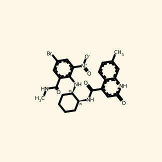 CNC(=O)c1cc(Br)cc([N+](=O)[O-])c1N[C@@H]1CCCC[C@@H]1NC(=O)c1cc(=O)[nH]c2cc(C)ccc12